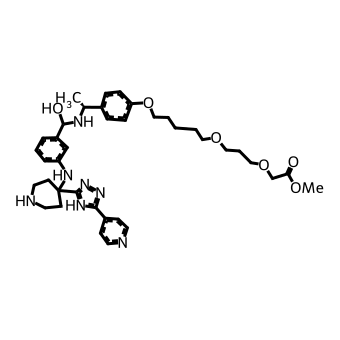 COC(=O)COCCCOCCCCCOc1ccc([C@H](C)NC(O)c2cccc(NC3(c4nnc(-c5ccncc5)[nH]4)CCNCC3)c2)cc1